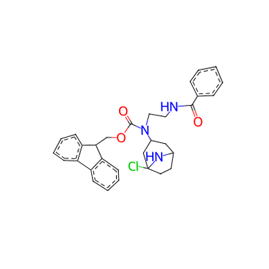 O=C(NCCN(C(=O)OCC1c2ccccc2-c2ccccc21)C1CC2CCC(Cl)(C1)N2)c1ccccc1